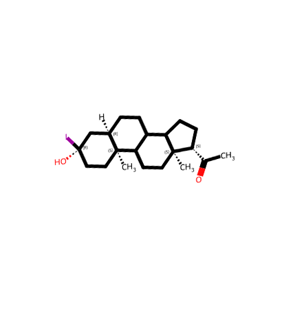 CC(=O)[C@H]1CCC2C3CC[C@@H]4C[C@](O)(I)CC[C@]4(C)C3CC[C@@]21C